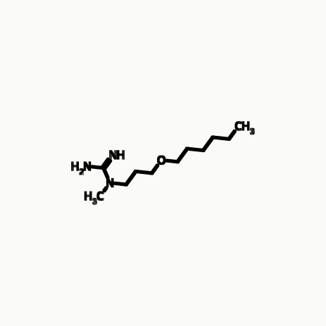 CCCCCCOCCCN(C)C(=N)N